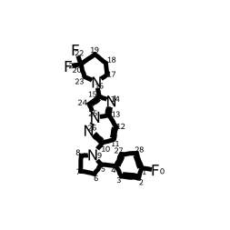 Fc1ccc(C2CCCN2c2ccc3nc(N4CCCC(F)(F)C4)[c]n3n2)cc1